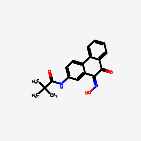 CC(C)(C)C(=O)Nc1ccc2c(c1)/C(=N\O)C(=O)c1ccccc1-2